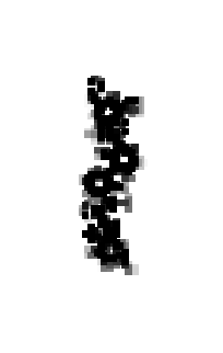 Cc1c(NC(=O)c2nc3c(n2C)CCN(C)C3)cccc1-c1cccc(C2Nc3cc(C=O)cc(Cl)c3O2)c1C